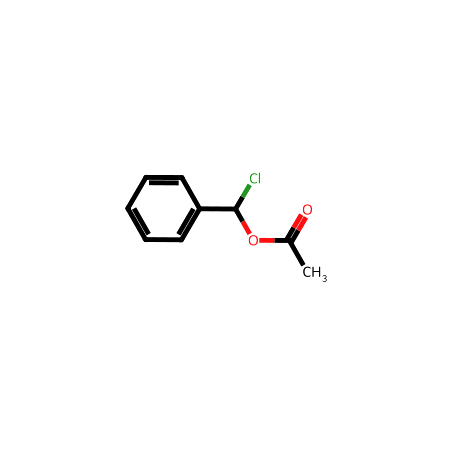 CC(=O)O[C](Cl)c1ccccc1